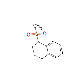 CS(=O)(=O)C1CCCc2ccccc21